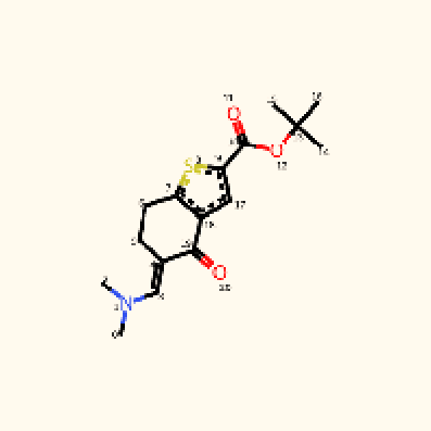 CN(C)/C=C1\CCc2sc(C(=O)OC(C)(C)C)cc2C1=O